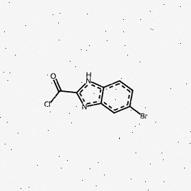 O=C(Cl)c1nc2cc(Br)ccc2[nH]1